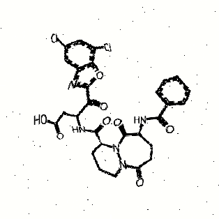 O=C(O)C[C@H](NC(=O)[C@@H]1CCCN2C(=O)CC[C@H](NC(=O)c3ccccc3)C(=O)N12)C(=O)c1nc2cc(Cl)cc(Cl)c2o1